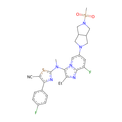 CCc1nc2c(F)cc(N3CC4CN(S(C)(=O)=O)CC4C3)cn2c1N(C)c1nc(-c2ccc(F)cc2)c(C#N)s1